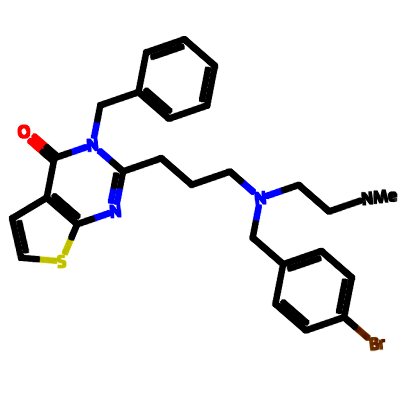 CNCCN(CCCc1nc2sccc2c(=O)n1Cc1ccccc1)Cc1ccc(Br)cc1